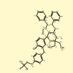 CO[C@@]1(c2ccc(Cl)c(Cc3ccc(OCC(F)(F)F)cc3)c2)OC(CO)(CO)[C@@H](C)[C@H](OCc2ccccc2)[C@H]1OCc1ccccc1